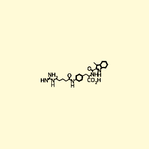 Cc1c(C(=O)NC(Cc2ccc(NC(=O)CCCCNC(=N)N)cc2)C(=O)O)[nH]c2ccccc12